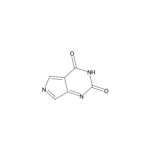 O=C1N=C2C=NC=C2C(=O)N1